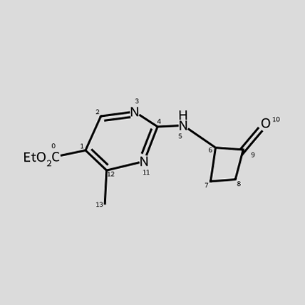 CCOC(=O)c1cnc(NC2CCC2=O)nc1C